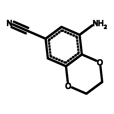 N#Cc1cc(N)c2c(c1)OCCO2